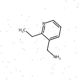 CCc1ncccc1CN